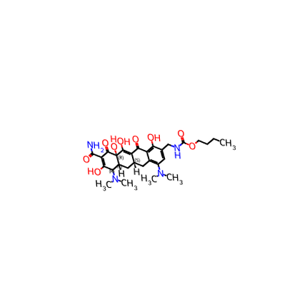 CCCCOC(=O)NCc1cc(N(C)C)c2c(c1O)C(=O)C1=C(O)[C@@]3(O)C(=O)C(C(N)=O)=C(O)[C@H](N(C)C)[C@H]3C[C@H]1C2